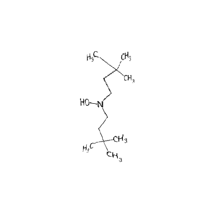 CC(C)(C)CCN(O)CCC(C)(C)C